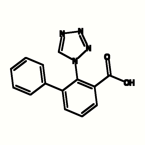 O=C(O)c1cccc(-c2ccccc2)c1-n1cnnn1